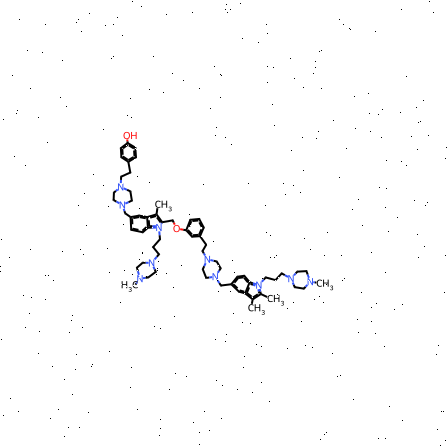 Cc1c(C)n(CCCN2CCN(C)CC2)c2ccc(CN3CCN(CCc4cccc(OCc5c(C)c6cc(CN7CCN(CCc8ccc(O)cc8)CC7)ccc6n5CCCN5CCN(C)CC5)c4)CC3)cc12